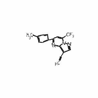 C#Cc1cnn2c(C(F)(F)F)cc(-c3ccc(C)cc3)nc12